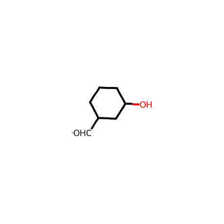 O=[C]C1CCCC(O)C1